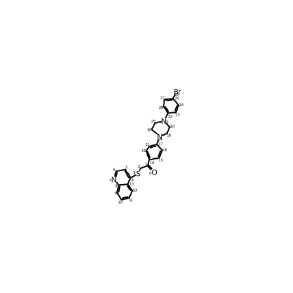 O=C(CSc1ccnc2ccccc12)c1ccc(N2CCN(c3ccc(Br)cc3)CC2)cc1